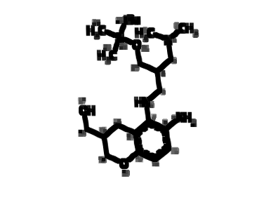 CN(C)CC(CNc1c(N)ccc2c1CC(CO)CO2)CO[Si](C)(C)C(C)(C)C